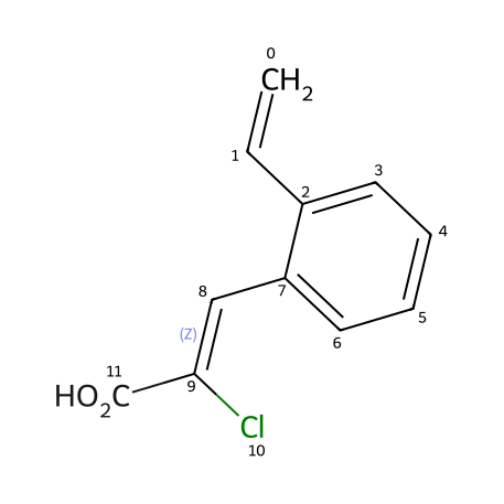 C=Cc1ccccc1/C=C(\Cl)C(=O)O